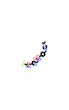 CC(C)N1CCN(Cc2ccc(-c3nn(Cc4ccc(-c5nnc(C(F)F)o5)cn4)c(=O)o3)cc2)CC1